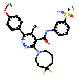 COc1ccc(-c2nnc(N3CCCC(F)(F)CC3)c(C(=O)Nc3cccc([S@](C)(=N)=O)c3)c2C)cc1